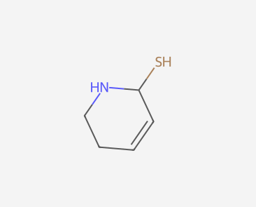 SC1C=CCCN1